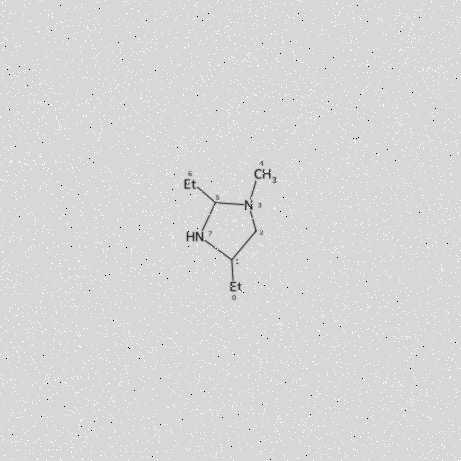 CCC1CN(C)C(CC)N1